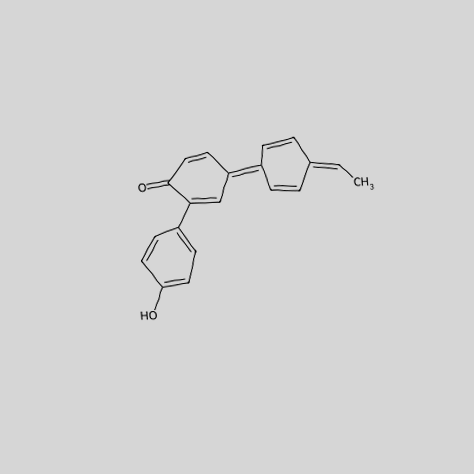 CC=c1ccc(=C2C=CC(=O)C(c3ccc(O)cc3)=C2)cc1